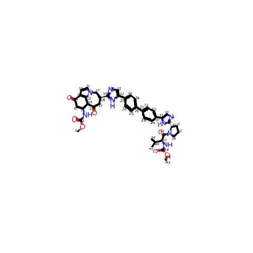 COC(=O)N[C@H]1CC(=O)c2ccn3c2C1C(=O)C[C@H](c1ncc(-c2ccc(-c4ccc(-c5cnc([C@@H]6CCCN6C(=O)[C@@H](NC(=O)OC)C(C)C)[nH]5)cc4)cc2)[nH]1)C3